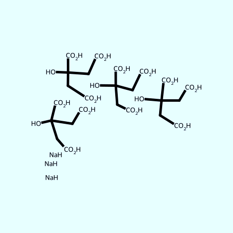 O=C(O)CC(O)(CC(=O)O)C(=O)O.O=C(O)CC(O)(CC(=O)O)C(=O)O.O=C(O)CC(O)(CC(=O)O)C(=O)O.O=C(O)CC(O)(CC(=O)O)C(=O)O.[NaH].[NaH].[NaH]